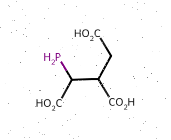 O=C(O)CC(C(=O)O)C(P)C(=O)O